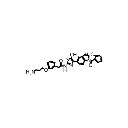 Cc1ccccc1C(=O)N1CCc2cc(-c3nc(NC(=O)Cc4cccc(OCCCN)c4)sc3C)ccc21